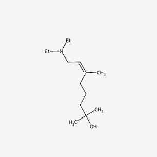 CCN(CC)C/C=C(/C)CCCC(C)(C)O